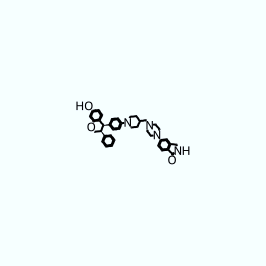 O=C1NCc2cc(N3CCN(CC4CCN(c5ccc([C@@H]6c7ccc(O)cc7OC[C@@H]6c6ccccc6)cc5)CC4)CC3)ccc21